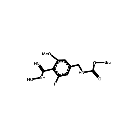 COc1cc(CNC(=O)OC(C)(C)C)cc(F)c1C(=N)NO